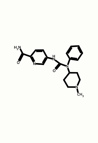 CN1CCC(N(C(=O)Nc2ccc(C(N)=O)nc2)c2ccccc2)CC1